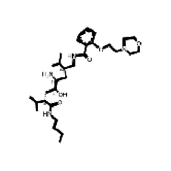 CCCCNC(=O)[C@@H](C[C@H](O)[C@@H](N)C[C@H](CNC(=O)c1ccccc1OCCN1CCOCC1)C(C)C)C(C)C